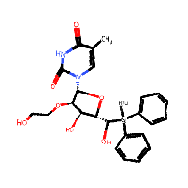 Cc1cn([C@@H]2O[C@H](C(O)[Si](c3ccccc3)(c3ccccc3)C(C)(C)C)[C@@H](O)[C@H]2OCCO)c(=O)[nH]c1=O